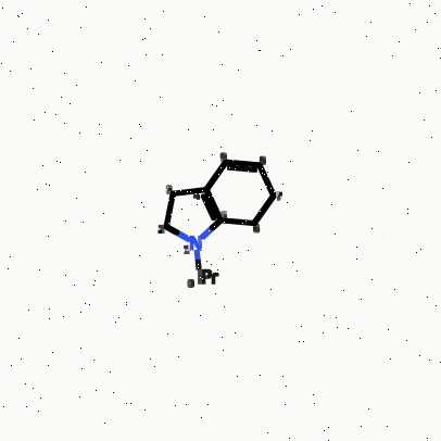 CC(C)N1CCC2=C1CCC=C2